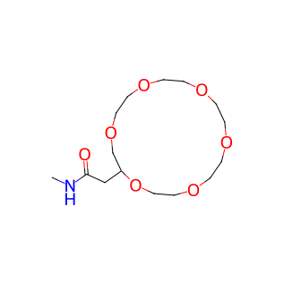 CNC(=O)CC1COCCOCCOCCOCCOCCO1